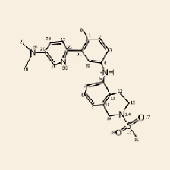 Cc1ccc(Nc2cccc3c2CCN(S(C)(=O)=O)C3)cc1-c1ccc(N(C)C)cn1